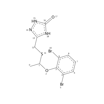 CC(Oc1c(Br)cccc1Br)SCc1n[nH]c(=O)[nH]1